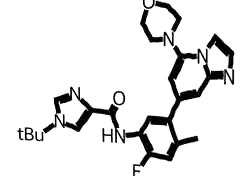 Cc1cc(F)c(NC(=O)c2cn(C(C)(C)C)cn2)cc1-c1cc(N2CCOCC2)n2ccnc2c1